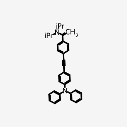 C=C(c1ccc(C#Cc2ccc(N(c3ccccc3)c3ccccc3)cc2)cc1)N(C(C)C)C(C)C